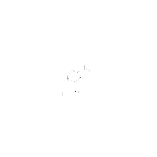 NC(=O)c1cccc([N+](=O)[O-])c1F